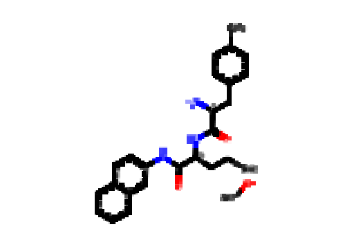 COc1ccc(C[C@H](N)C(=O)N[C@@H](CCSC)C(=O)Nc2ccc3ccccc3c2)cc1.O=CO